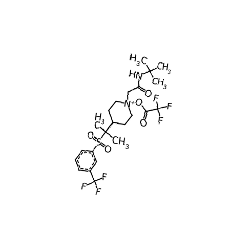 CC(C)(C)NC(=O)C[N+]1(OC(=O)C(F)(F)F)CCC(C(C)(C)S(=O)(=O)c2cccc(C(F)(F)F)c2)CC1